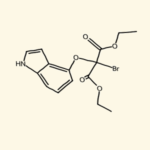 CCOC(=O)C(Br)(Oc1cccc2[nH]ccc12)C(=O)OCC